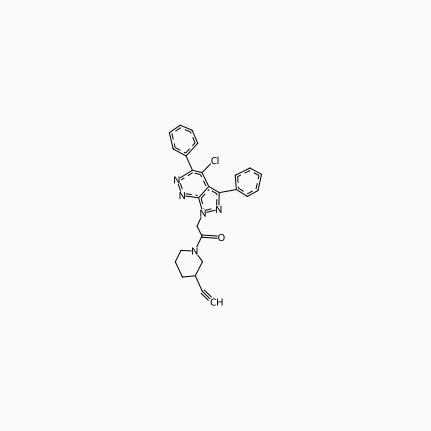 C#CC1CCCN(C(=O)Cn2nc(-c3ccccc3)c3c(Cl)c(-c4ccccc4)nnc32)C1